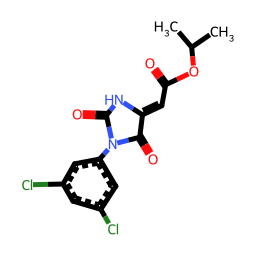 CC(C)OC(=O)/C=C1\NC(=O)N(c2cc(Cl)cc(Cl)c2)C1=O